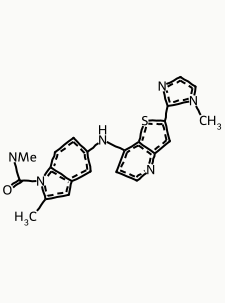 CNC(=O)n1c(C)cc2cc(Nc3ccnc4cc(-c5nccn5C)sc34)ccc21